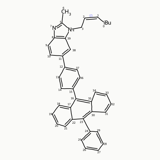 CCC(C)/C=C\Cn1c(C)nc2ccc(-c3ccc(-c4c5ccccc5c(-c5ccccc5)c5ccccc45)cc3)cc21